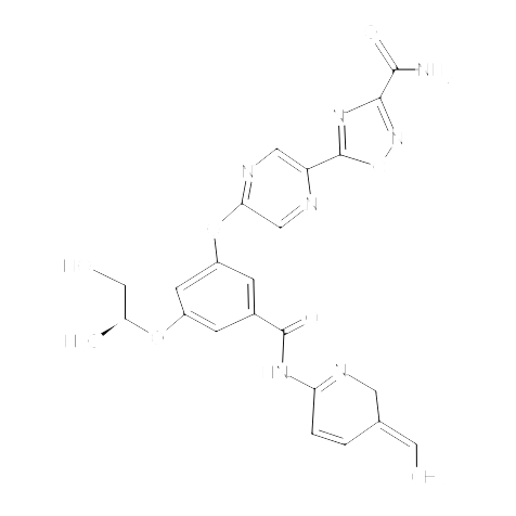 C/C=C1\C=CC(NC(=O)c2cc(Oc3cnc(-c4nc(C(N)=O)no4)cn3)cc(O[C@@H](C)CO)c2)=NC1